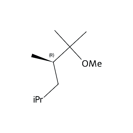 COC(C)(C)[C@H](C)CC(C)C